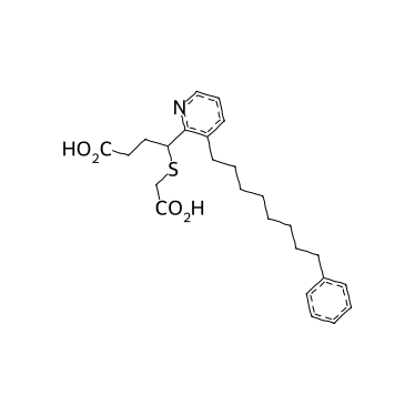 O=C(O)CCC(SCC(=O)O)c1ncccc1CCCCCCCCc1ccccc1